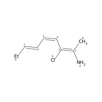 CC/C=C/C=C\C(Cl)=C(/C)N